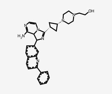 NC1=NC=CN2C([C@H]3C[C@@H](N4CCN(CCO)CC4)C3)=NC(c3ccc4ccc(-c5ccccc5)nc4c3)C12